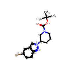 CC(C)(C)OC(=O)N1CCCC(n2cc3cc(Br)ccc3n2)C1